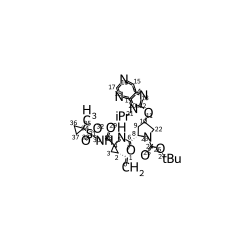 C=C[C@@H]1C[C@]1(NC(=O)[C@@H]1C[C@@H](Oc2nc3cncnc3n2C(C)C)CN1C(=O)OC(C)(C)C)C(=O)NS(=O)(=O)C1(C)CC1